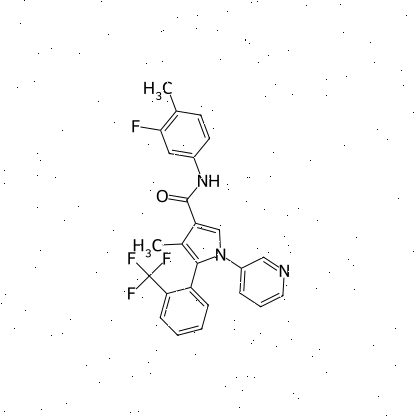 Cc1ccc(NC(=O)c2cn(-c3cccnc3)c(-c3ccccc3C(F)(F)F)c2C)cc1F